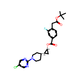 CC(C)(C)OC(=O)Cc1ccc(C(=O)O[C@@H]2C[C@@H]2C2CCN(c3ncc(Cl)cn3)CC2)cc1F